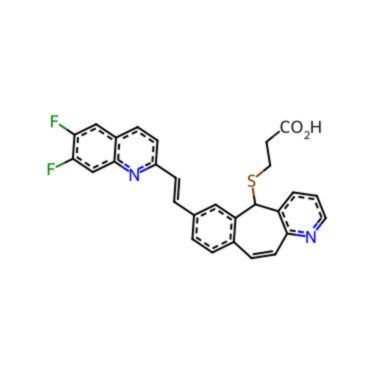 O=C(O)CCSC1c2cc(C=Cc3ccc4cc(F)c(F)cc4n3)ccc2C=Cc2ncccc21